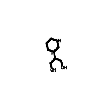 OCC(CO)[C@H]1CCCNC1